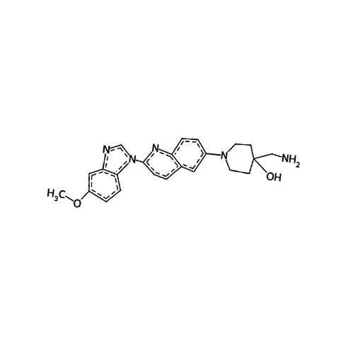 COc1ccc2c(c1)ncn2-c1ccc2cc(N3CCC(O)(CN)CC3)ccc2n1